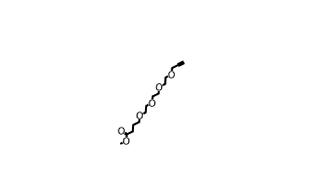 C#CCOCCOCCOCCOCCCC(=O)OC